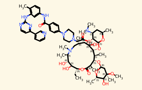 CC[C@H]1OC(=O)[C@H](C)[C@@H](O[C@H]2C[C@@](C)(OC)[C@@H](O)[C@H](C)O2)[C@H](C)[C@@H](O[C@@H]2O[C@H](C)C[C@H](N(C)C)[C@H]2OC(=O)CN2CCN(c3ccc(C(=O)Nc4ccc(C)c(Nc5nccc(-c6cccnc6)n5)c4)cc3)CC2)[C@](C)(O)C[C@@H](C)CN(C)[C@H](C)[C@@H](O)[C@@H]1O